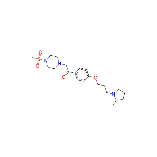 CC1CCCN1CCCOc1ccc(C(=O)CN2CCN(S(C)(=O)=O)CC2)cc1